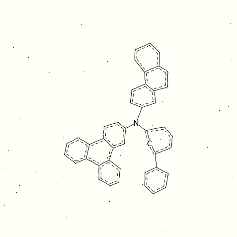 c1ccc(-c2cccc(N(c3ccc4c(ccc5ccccc54)c3)c3ccc4c5ccccc5c5ccccc5c4c3)c2)cc1